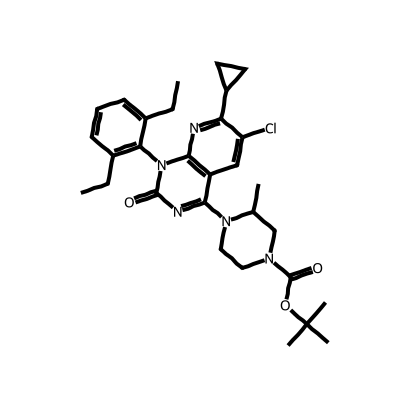 CCc1cccc(CC)c1-n1c(=O)nc(N2CCN(C(=O)OC(C)(C)C)CC2C)c2cc(Cl)c(C3CC3)nc21